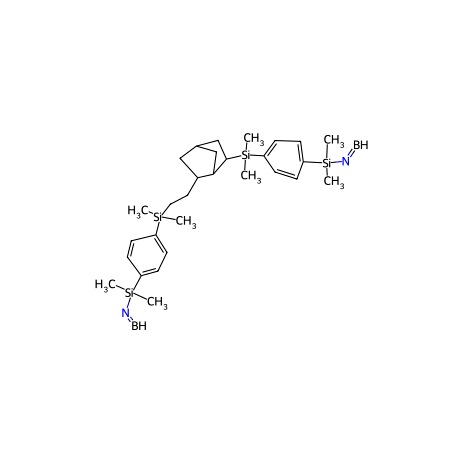 B=N[Si](C)(C)c1ccc([Si](C)(C)CCC2CC3CC2C([Si](C)(C)c2ccc([Si](C)(C)N=B)cc2)C3)cc1